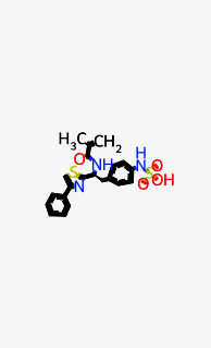 C=C(C)C(=O)N[C@@H](Cc1ccc(NS(=O)(=O)O)cc1)c1nc(-c2ccccc2)cs1